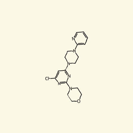 Clc1cc(N2CCN(c3ccccn3)CC2)nc(N2CCOCC2)n1